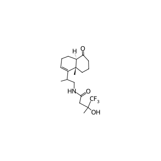 CC(CNC(=O)CC(C)(O)C(F)(F)F)C1=CCC[C@H]2C(=O)CCC[C@]12C